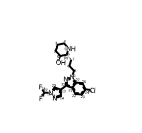 O[C@H]1CCCN[C@@H]1CCCn1nc(-c2cnn(C(F)F)c2)c2ccc(Cl)cc21